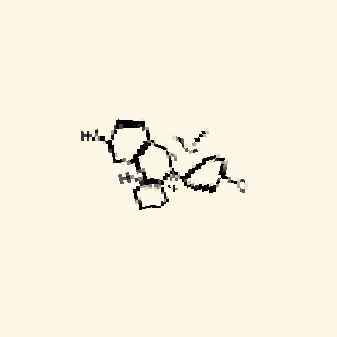 COC[C@H]1c2ccc(O)cc2[C@@H]2CCCC[C@@H]2[C@@H]1c1ccc(O)cc1